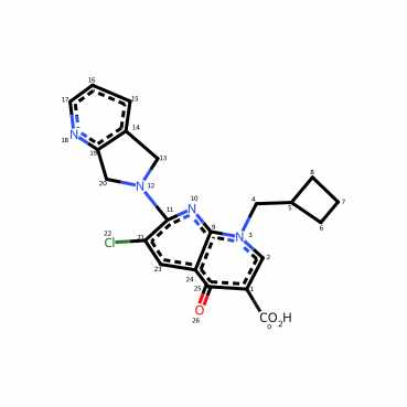 O=C(O)c1cn(CC2CCC2)c2nc(N3Cc4cccnc4C3)c(Cl)cc2c1=O